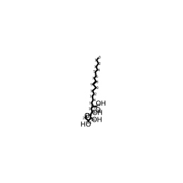 CCCCCCCCC=CCCCCCCC(CC(O)C1OCC(O)C1O)C(=O)O